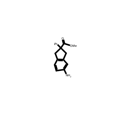 COC(=O)C1(C(C)C)Cc2ccc(N)cc2C1